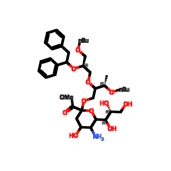 CCCCOC[C@@H](COC(COC1(C(=O)OC)CC(O)C(N)C([C@H](O)[C@H](O)CO)O1)[C@H](C)OCCCC)OC(Cc1ccccc1)c1ccccc1